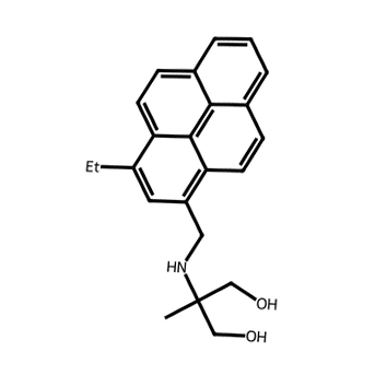 CCc1cc(CNC(C)(CO)CO)c2ccc3cccc4ccc1c2c43